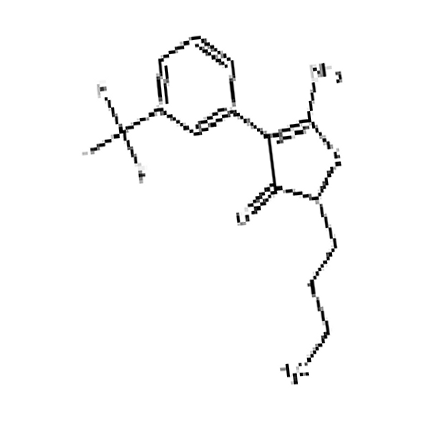 CCCCC1SC(N)=C(c2cccc(C(F)(F)F)c2)C1=O